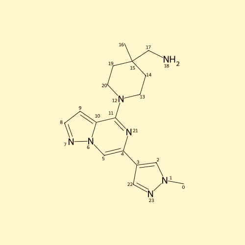 Cn1cc(-c2cn3nccc3c(N3CCC(C)(CN)CC3)n2)cn1